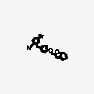 N#Cc1ccc(Br)cc1Cc1ccc(OCC2Cc3ccccc3O2)cc1